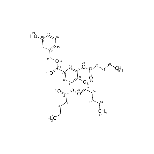 CCCCC(=O)Oc1cc(C(=O)OCc2cccc(O)c2)cc(OC(=O)CCCC)c1OC(=O)CCCC